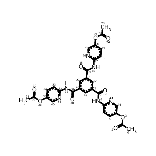 CC(=O)Oc1ccc(NC(=O)c2cc(C(=O)Nc3ccc(OC(C)=O)cn3)cc(C(=O)Nc3ccc(OC(C)=O)cn3)c2)nc1